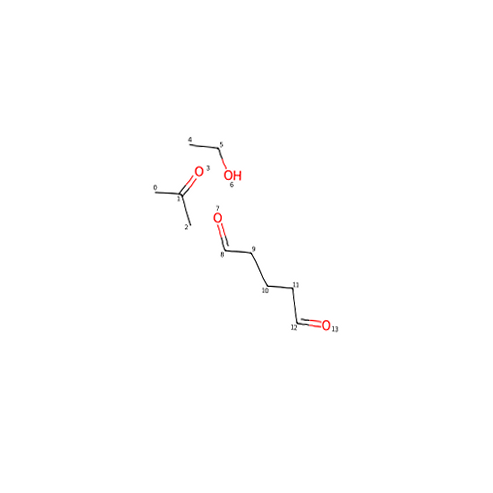 CC(C)=O.CCO.O=CCCCC=O